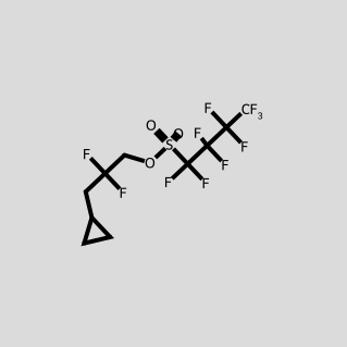 O=S(=O)(OCC(F)(F)CC1CC1)C(F)(F)C(F)(F)C(F)(F)C(F)(F)F